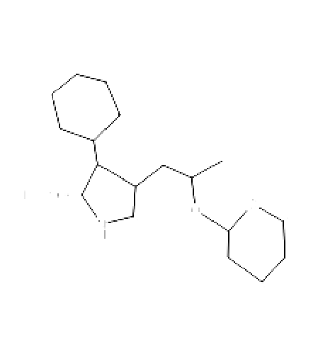 CC(CC1CN[C@H](C(=O)O)C1C1CCCCC1)OC1CCCCO1